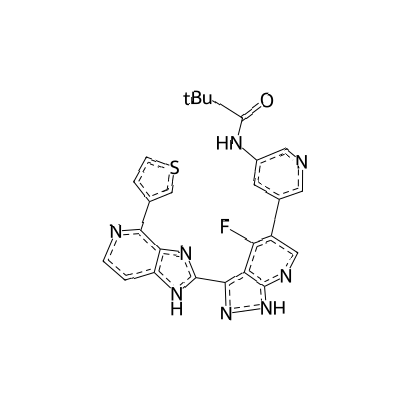 CC(C)(C)C(=O)Nc1cncc(-c2cnc3[nH]nc(-c4nc5c(-c6ccsc6)nccc5[nH]4)c3c2F)c1